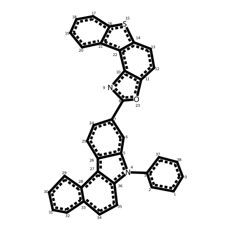 c1ccc(-n2c3cc(-c4nc5c(ccc6sc7ccccc7c65)o4)ccc3c3c4ccccc4ccc32)cc1